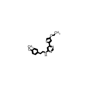 CCOc1csc(-c2cc(NCCc3ccc(OC)cc3)ncn2)c1